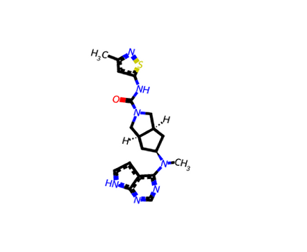 Cc1cc(NC(=O)N2C[C@H]3C[C@@H](N(C)c4ncnc5[nH]ccc45)C[C@H]3C2)sn1